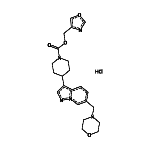 Cl.O=C(OCc1cocn1)N1CCC(c2cnn3cc(CN4CCOCC4)ccc23)CC1